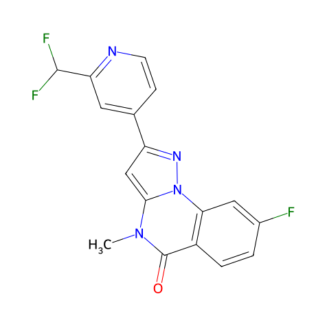 Cn1c(=O)c2ccc(F)cc2n2nc(-c3ccnc(C(F)F)c3)cc12